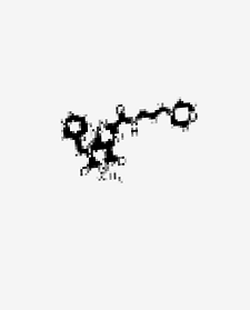 Cn1c(=O)c2nc(C(=O)NCCCN3CCOCC3)nnc2n(Cc2cccnc2)c1=O